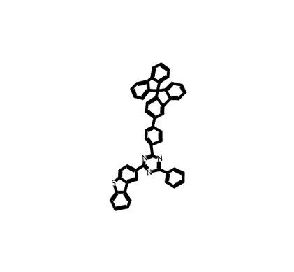 c1ccc(-c2nc(-c3ccc(-c4ccc5c(c4)-c4ccccc4C54c5ccccc5-c5ccccc54)cc3)nc(-c3ccc4sc5ccccc5c4c3)n2)cc1